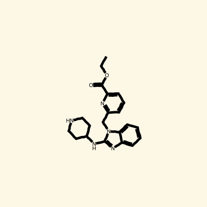 CCOC(=O)c1cccc(Cn2c(NC3CCNCC3)nc3ccccc32)n1